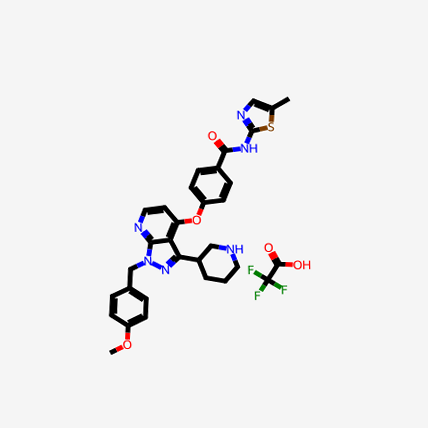 COc1ccc(Cn2nc(C3CCCNC3)c3c(Oc4ccc(C(=O)Nc5ncc(C)s5)cc4)ccnc32)cc1.O=C(O)C(F)(F)F